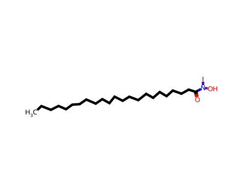 CCCCCCCCCCCCCCCCCCCCCCC(=O)N(O)I